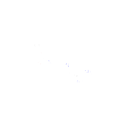 CCOC(=O)N1CCC(N2C=C(N)C(N)=CC2)CC1